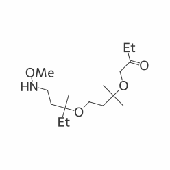 CCC(=O)COC(C)(C)CCOC(C)(CC)CCNOC